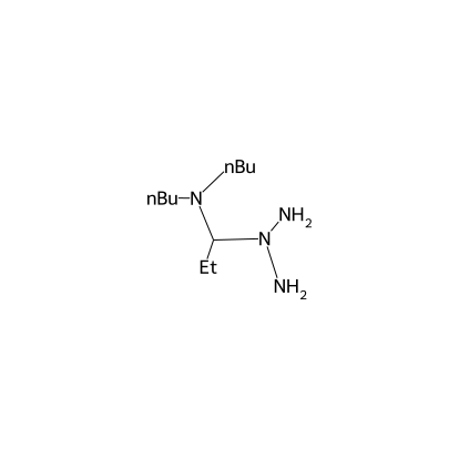 CCCCN(CCCC)C(CC)N(N)N